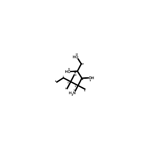 CCC(C)(C)C(C)(N)C(O)C(O)CO